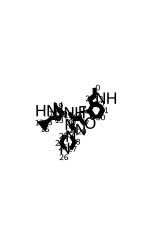 Cc1cc2c(F)c(Oc3cc(Nc4cc(C5CC5)[nH]n4)nc(N4CCN(C)CC4)n3)ccc2[nH]1